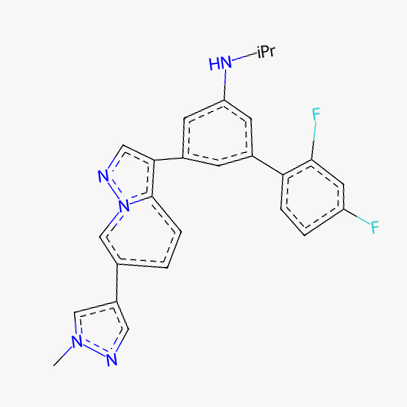 CC(C)Nc1cc(-c2ccc(F)cc2F)cc(-c2cnn3cc(-c4cnn(C)c4)ccc23)c1